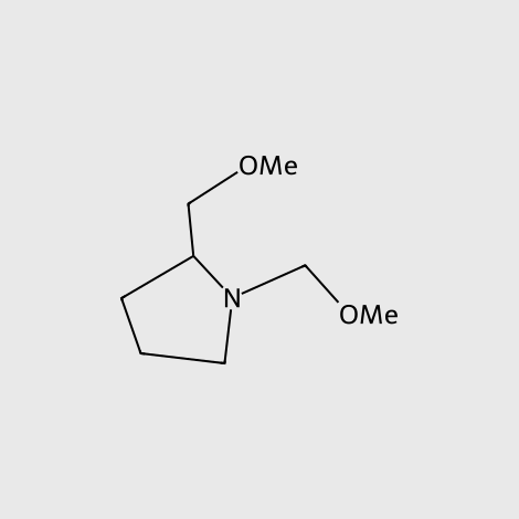 COCC1CCCN1COC